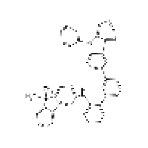 CC1(C)c2ccccc2-c2cc(Nc3ccccc3-c3cccc(-c4ccc5c(c4)c4ccccc4n5-c4ccccc4)c3)ccc21